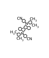 [C-]#[N+]c1ccc(N(c2cc(C)cc(C)c2)c2cc3c4ccccc4c(N(c4ccc(C#N)cc4)c4cc(C)cc(C)c4)cc3c3ccccc23)cc1